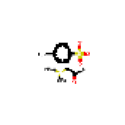 CCCC[S+](CCCC)CC(=O)CC.Cc1ccc(S(=O)(=O)[O-])cc1